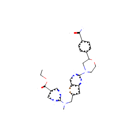 CCOC(=O)c1cnc(N(C)Cc2cc3nc(N4CCOC(c5ccc(C(N)=O)cc5)C4)ncc3s2)nc1